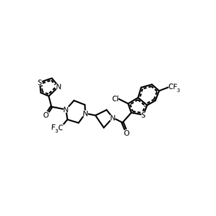 O=C(c1sc2cc(C(F)(F)F)ccc2c1Cl)N1CC(N2CCN(C(=O)c3cscn3)C(C(F)(F)F)C2)C1